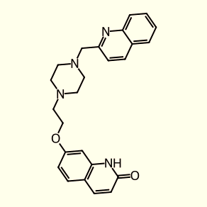 O=c1ccc2ccc(OCCN3CCN(Cc4ccc5ccccc5n4)CC3)cc2[nH]1